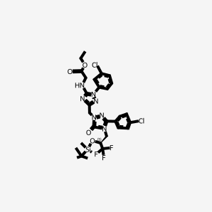 CCOC(=O)CNc1nc(Cn2nc(-c3ccc(Cl)cc3)n(C[C@H](O[Si](C)(C)C(C)(C)C)C(F)(F)F)c2=O)nn1-c1cccc(Cl)c1